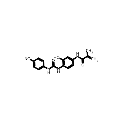 C=C(C)C(=O)Nc1ccc(NC(=O)Nc2ccc(C#N)cc2)c(O)c1